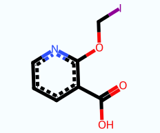 O=C(O)c1cccnc1OCI